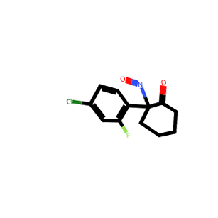 O=NC1(c2ccc(Cl)cc2F)CCCCC1=O